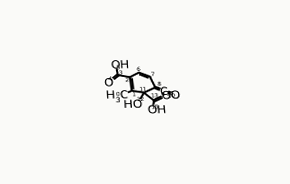 CC1=C(C(=O)O)C=CC(=C=O)C1(O)C(=O)O